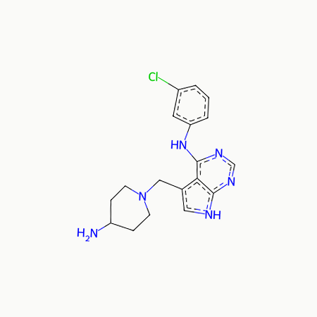 NC1CCN(Cc2c[nH]c3ncnc(Nc4cccc(Cl)c4)c23)CC1